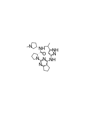 CC(C)c1cc(Nc2nc(N3CCC[C@@H]3C(=O)N[C@H]3CCN(C)C3)nc3c2CCC3)n[nH]1